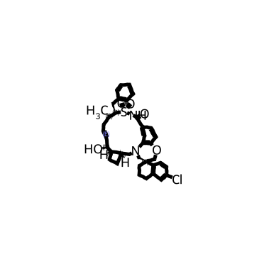 C[C@H]1C/C=C/[C@H](O)[C@@H]2CC[C@H]2CN2C[C@@]3(CCCc4cc(Cl)ccc43)COc3ccc(cc32)C(=O)NS(=O)(=O)[C@@H]1Cc1ccccc1